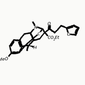 CCOC(=O)C1(C(=O)CCc2ccco2)CC2C3Cc4ccc(OC)c(c4[C@H]2C)CC1N3C